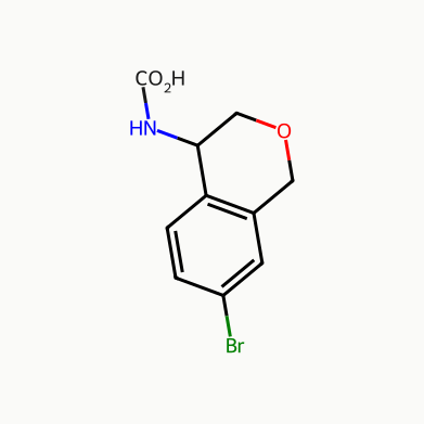 O=C(O)NC1COCc2cc(Br)ccc21